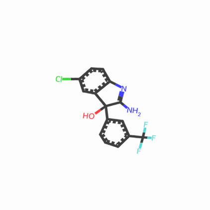 NC1=Nc2ccc(Cl)cc2C1(O)c1cccc(C(F)(F)F)c1